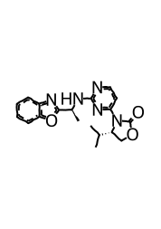 CC(C)[C@H]1COC(=O)N1c1ccnc(N[C@@H](C)c2nc3ccccc3o2)n1